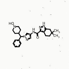 CC1(C)CCc2c(C(=O)Nc3cnn(C(c4ccccc4)C4CCN(O)CC4)c3)n[nH]c2C1